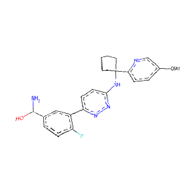 COc1ccc(C2(Nc3ccc(-c4cc(C(N)O)ccc4F)nn3)CCC2)nc1